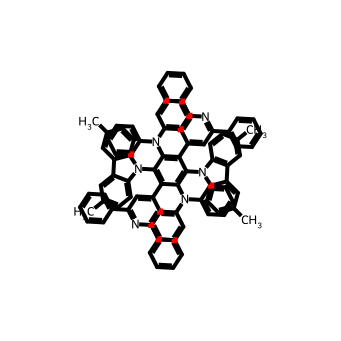 Cc1ccc2c(c1)c1cc(C)ccc1n2-c1c(-c2cc(-c3ccccc3)nc(-c3ccccc3)c2)c(N(c2ccccc2)c2ccccc2)c(-n2c3ccc(C)cc3c3cc(C)ccc32)c(-c2cc(-c3ccccc3)nc(-c3ccccc3)c2)c1N(c1ccccc1)c1ccccc1